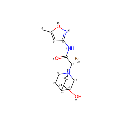 Cc1cc(NC(=O)C[N+]23CCC(CC2)C(O)C3)no1.[Br-]